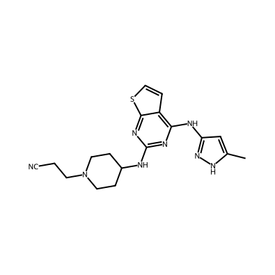 Cc1cc(Nc2nc(NC3CCN(CCC#N)CC3)nc3sccc23)n[nH]1